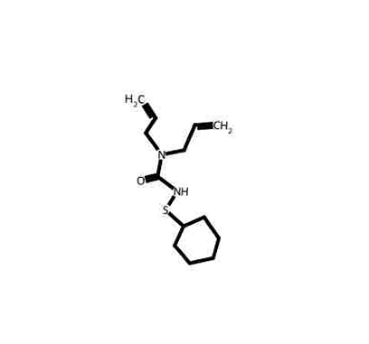 C=CCN(CC=C)C(=O)NSC1CCCCC1